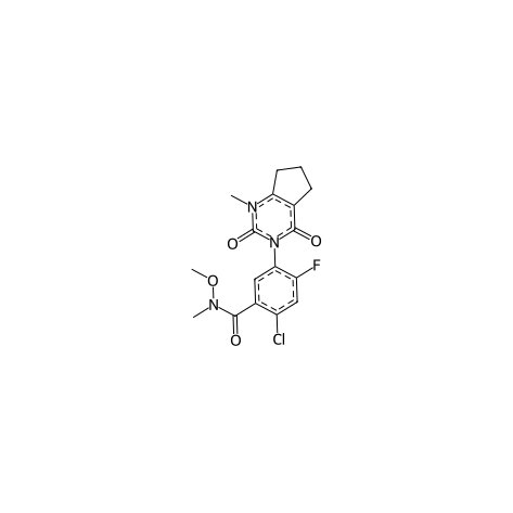 CON(C)C(=O)c1cc(-n2c(=O)c3c(n(C)c2=O)CCC3)c(F)cc1Cl